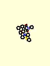 c1ccc(-c2ccc(-c3ccccc3N(c3ccc4c(c3)C3(c5ccccc5-4)c4ccccc4N(c4ccccc4)c4ccccc43)c3cccc4c3sc3ccccc34)cc2)cc1